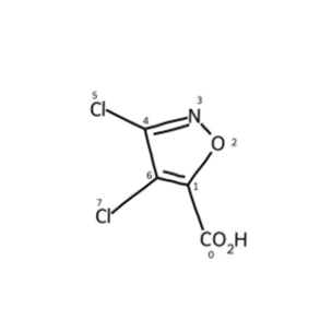 O=C(O)c1onc(Cl)c1Cl